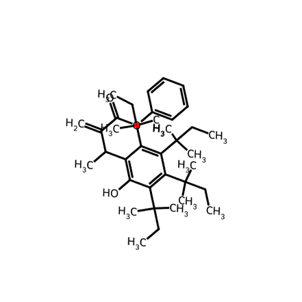 C=C(C(=O)Oc1ccccc1)C(C)c1c(O)c(C(C)(C)CC)c(C(C)(C)CC)c(C(C)(C)CC)c1C(C)(C)CC